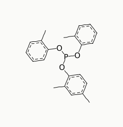 Cc1ccc(OP(Oc2ccccc2C)Oc2ccccc2C)c(C)c1